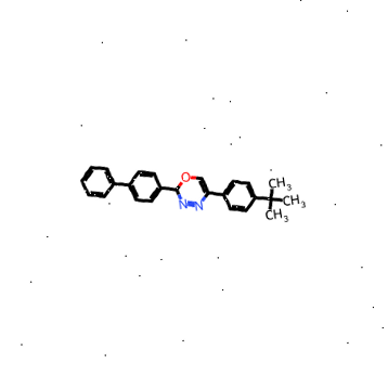 CC(C)(C)c1ccc(C2=COC(c3ccc(-c4ccccc4)cc3)N=N2)cc1